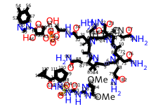 C/C1=C2N=C(/C=C3N=C(/C(C)=C4/[C@@H](CCC(N)=O)[C@](C)(CC(N)=O)[C@](C)([C@@H]5N=C1[C@](C)(CCC(=O)NCC(C)OP(=O)([O-])O[C@H]1[C@@H](O)[C@@H](n6cnc7cc(C)c(C)cc76)O[C@@H]1CO)[C@H]5CC(N)=O)[N]4[Co+][C]#N)[C@@](C)(CC(N)=O)[C@@H]\3CCC(N)=O)C(C)(C)[C@@H]/2CCC(N)=O.COc1cc(OC)nc(NC(=O)NS(=O)(=O)Nc2ccccc2C(=O)C2CC2)n1